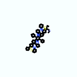 C=Cc1sc2c(N(c3ccccc3)c3cccc4c3c3cccc5c6c(-c7ccccc7)c7c(c(-c8ccccc8)c6n4c35)c3cccc4c5c(N(c6ccccc6)c6cccc8c6sc6ccccc68)cccc5n7c43)cccc2c1/C=C\C